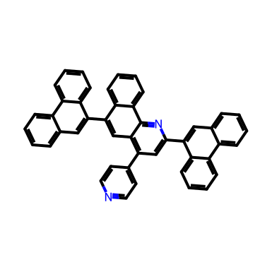 c1ccc2c(c1)cc(-c1cc(-c3ccncc3)c3cc(-c4cc5ccccc5c5ccccc45)c4ccccc4c3n1)c1ccccc12